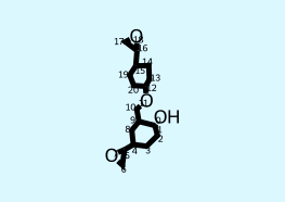 OC1CCC(C2CO2)CC1COC1CCC(C2CO2)CC1